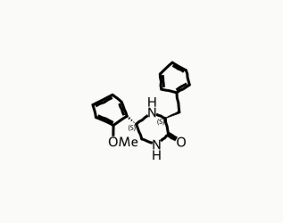 COc1ccccc1[C@H]1CNC(=O)[C@H](Cc2ccccc2)N1